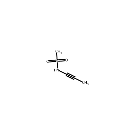 CC#CNS(C)(=O)=O